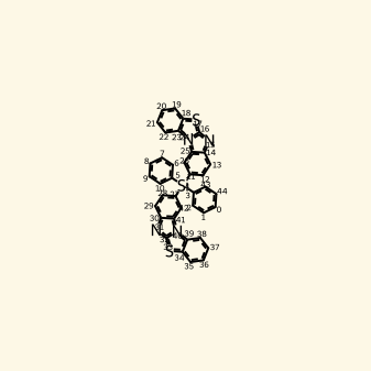 c1ccc([Si](c2ccccc2)(c2ccc3nc4sc5ccccc5n4c3c2)c2ccc3nc4sc5ccccc5n4c3c2)cc1